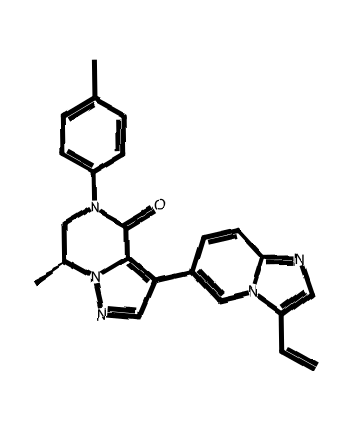 C=Cc1cnc2ccc(-c3cnn4c3C(=O)N(c3ccc(C)cc3)C[C@@H]4C)cn12